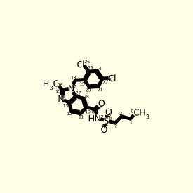 CCCCS(=O)(=O)NC(=O)c1ccc2nc(C)n(Cc3ccc(Cl)cc3Cl)c2c1